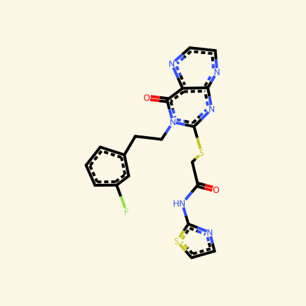 O=C(CSc1nc2nccnc2c(=O)n1CCc1cccc(F)c1)Nc1nccs1